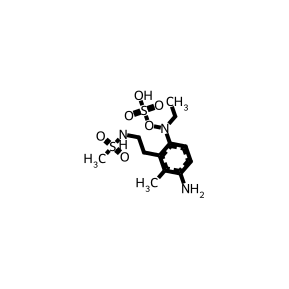 CCN(OS(=O)(=O)O)c1ccc(N)c(C)c1CCNS(C)(=O)=O